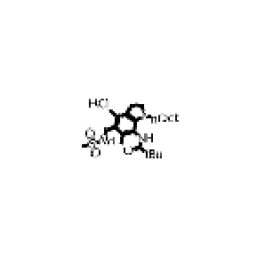 CCCCCCCCN1CCc2c(C)c(CNS(C)(=O)=O)c(C)c(NC(=O)C(C)(C)C)c21.Cl